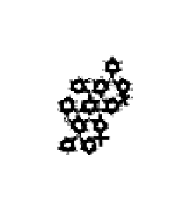 CC(C)(C)c1ccc2c(c1)N1c3cc(N(c4ccccc4)c4ccccc4)cc4c3B(c3ccccc3O4)c3cc4c5c(c31)B2c1ccc(C(C)(C)C)cc1N5c1cc(N(c2ccccc2)c2ccccc2)cc2c1B4c1ccccc1O2